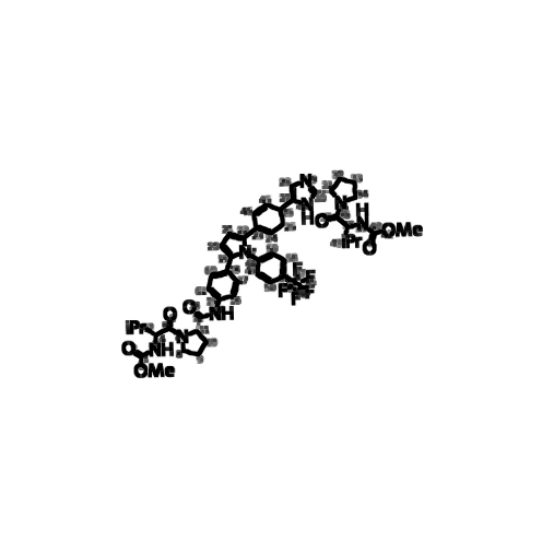 COC(=O)N[C@H](C(=O)N1CCC[C@H]1C(=O)Nc1ccc(-c2ccc(C3=CCC(c4cnc([C@@H]5CCCN5C(=O)[C@@H](NC(=O)OC)C(C)C)[nH]4)C=C3)n2-c2ccc(S(F)(F)(F)(F)F)cc2)cc1)C(C)C